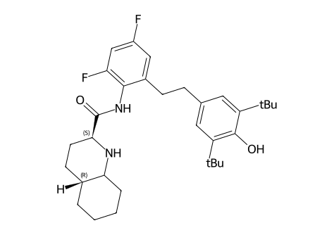 CC(C)(C)c1cc(CCc2cc(F)cc(F)c2NC(=O)[C@@H]2CC[C@H]3CCCCC3N2)cc(C(C)(C)C)c1O